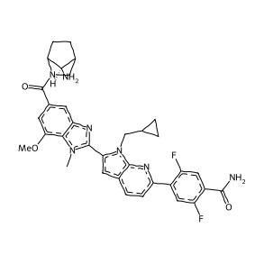 COc1cc(C(=O)N2CC3CCC2[C@@H]3N)cc2nc(-c3cc4ccc(-c5cc(F)c(C(N)=O)cc5F)nc4n3CC3CC3)n(C)c12